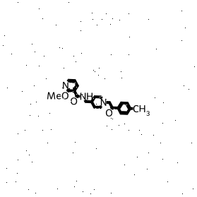 COc1ncccc1C(=O)NCC1CCN(CC(=O)c2ccc(C)cc2)CC1